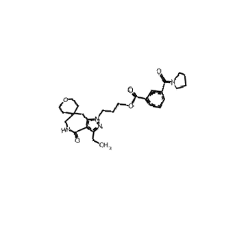 CCc1nn(CCCOC(=O)c2cccc(C(=O)N3CCCC3)c2)c2c1C(=O)NCC1(CCOCC1)C2